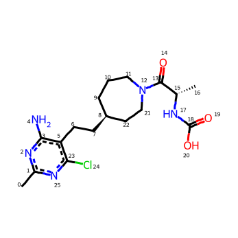 Cc1nc(N)c(CC[C@H]2CCCN(C(=O)[C@H](C)NC(=O)O)CC2)c(Cl)n1